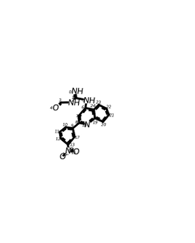 N=C(NC=O)Nc1cc(-c2cccc([N+](=O)[O-])c2)nc2ccccc12